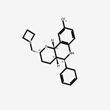 FC(F)(F)c1ccc2c(c1)[C@H]1O[C@@H](CN3CCC3)CC[C@H]1[C@H](C1C=CC=CC1)N2